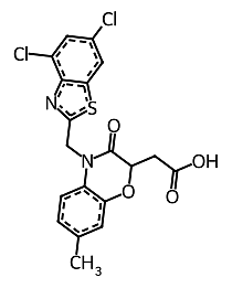 Cc1ccc2c(c1)OC(CC(=O)O)C(=O)N2Cc1nc2c(Cl)cc(Cl)cc2s1